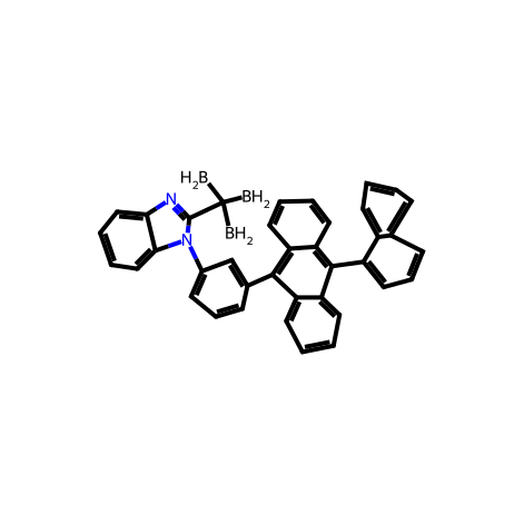 BC(B)(B)c1nc2ccccc2n1-c1cccc(-c2c3ccccc3c(-c3cccc4ccccc34)c3ccccc23)c1